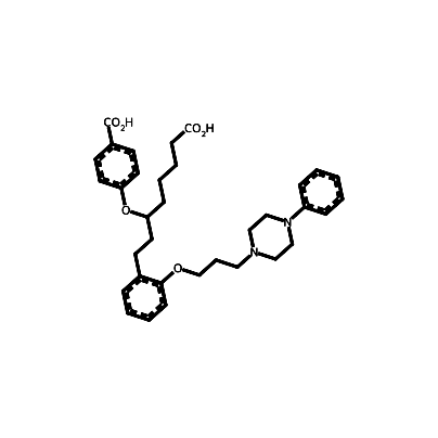 O=C(O)CCCCC(CCc1ccccc1OCCCN1CCN(c2ccccc2)CC1)Oc1ccc(C(=O)O)cc1